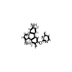 Cc1ccnc(Oc2cc(-c3ccc(N)cc3)c(C3N=CC=C3N)cc2F)n1